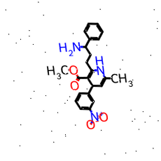 COC(=O)C1=C(CCC(N)c2ccccc2)NC(C)=CC1c1cccc([N+](=O)[O-])c1